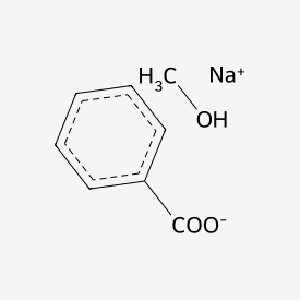 CO.O=C([O-])c1ccccc1.[Na+]